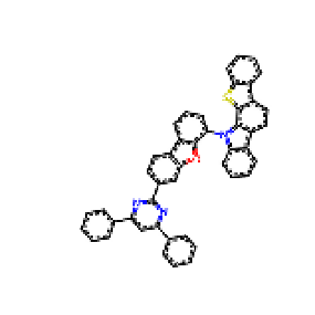 c1ccc(-c2cc(-c3ccccc3)nc(-c3ccc4c(c3)oc3c(-n5c6ccccc6c6ccc7c8ccccc8sc7c65)cccc34)n2)cc1